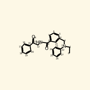 CCN(Cc1cccc(C(=O)NCC(=O)c2ccccc2)c1)c1ccccc1